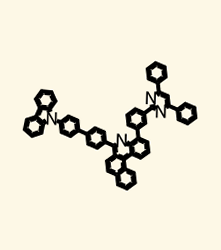 c1ccc(-c2cc(-c3ccccc3)nc(-c3cccc(-c4cccc5c4nc(-c4ccc(-c6ccc(-n7c8ccccc8c8ccccc87)cc6)cc4)c4ccc6ccccc6c45)c3)n2)cc1